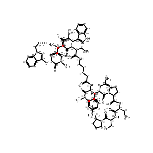 CCCC[C@@H](C(=O)N(C)[C@@H](CCCC)C(=O)N[C@@H](CC(C)C)C(=O)NCCSCC(=O)N[C@@H](Cc1ccc(O)cc1)C(=O)N(C)[C@@H](C)C(=O)N[C@@H](CC(N)=O)C(=O)N1CCCC1C(=O)N[C@@H](CN)C(=O)N[C@@H](CC(C)C)C(=O)N1CCCC1C)N(C)C(=O)[C@H](Cc1cn(CC(=O)O)c2ccccc12)NC(=O)CNC(=O)[C@H](Cc1c[nH]c2ccccc12)NC